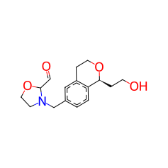 O=CC1OCCN1Cc1ccc2c(c1)CCO[C@H]2CCO